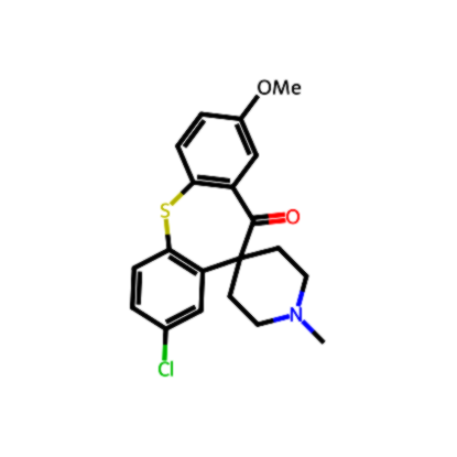 COc1ccc2c(c1)C(=O)C1(CCN(C)CC1)c1cc(Cl)ccc1S2